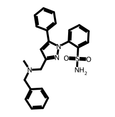 CN(Cc1ccccc1)Cc1cc(-c2ccccc2)n(-c2ccccc2S(N)(=O)=O)n1